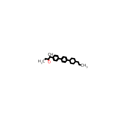 C=CC(=O)C(C)c1ccc(-c2ccc(C3CCC(CCC)CC3)cc2)cc1